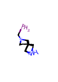 PCN1CC2(CNC2)C1